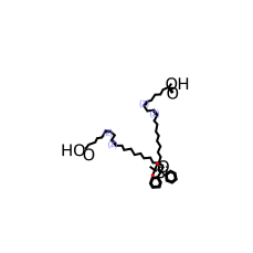 CC(C)(C)[Si](OC(CCCCCCCC/C=C\C/C=C\CCCCC(=O)O)CCCCCCCC/C=C\C/C=C\CCCCC(=O)O)(c1ccccc1)c1ccccc1